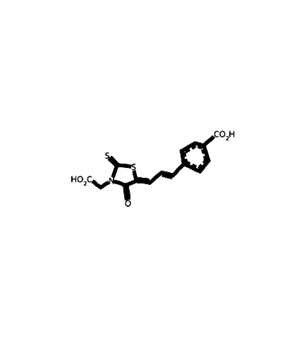 O=C(O)CN1C(=O)C(=CC=Cc2ccc(C(=O)O)cc2)SC1=S